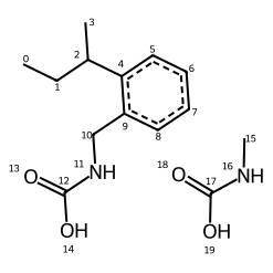 CCC(C)c1ccccc1CNC(=O)O.CNC(=O)O